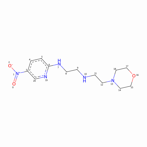 O=[N+]([O-])c1ccc(NCCNCCN2CCOCC2)nc1